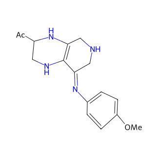 COc1ccc(/N=C2\CNCC3=C2NCC(C(C)=O)N3)cc1